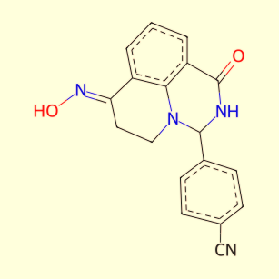 N#Cc1ccc(C2NC(=O)c3cccc4c3N2CCC4=NO)cc1